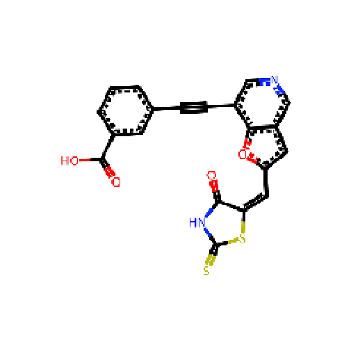 O=C1NC(=S)SC1=Cc1cc2cncc(C#Cc3cccc(C(=O)O)c3)c2o1